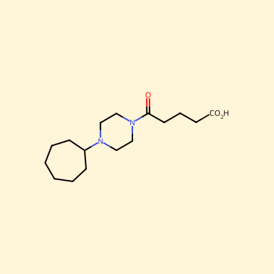 O=C(O)CCCC(=O)N1CCN(C2CCCCCC2)CC1